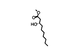 CCCCCCC[C@H](O)CC(=O)OC